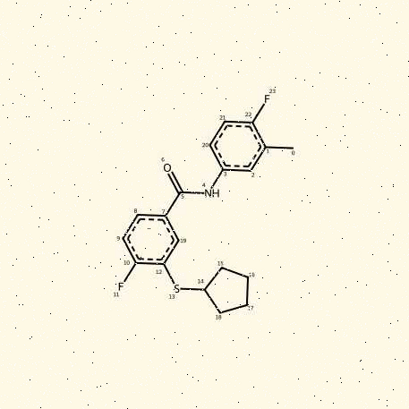 Cc1cc(NC(=O)c2ccc(F)c(SC3CCCC3)c2)ccc1F